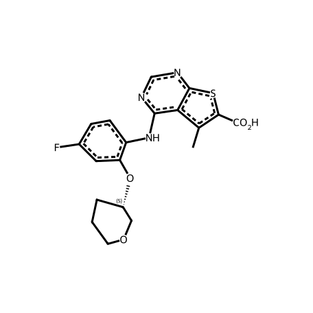 Cc1c(C(=O)O)sc2ncnc(Nc3ccc(F)cc3O[C@H]3CCCOC3)c12